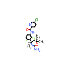 CC1(C)OC(N)=N[C@](C)(c2cc(NC(=O)c3ccc(Cl)cn3)ccc2F)C1(F)F